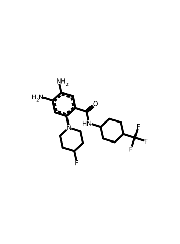 Nc1cc(C(=O)NC2CCC(C(F)(F)F)CC2)c(N2CCC(F)CC2)cc1N